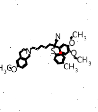 CCOc1ccc(C(C#N)(CCCCCN2CCc3cc(OC)ccc3C2)Sc2ccc(C)cc2)cc1OCC